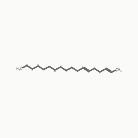 CC=CCCC=CCCCCCCCCCCC